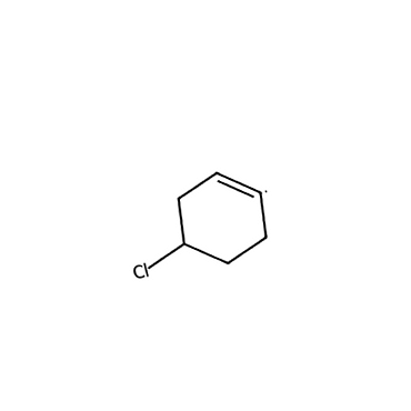 ClC1CC=[C]CC1